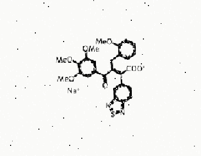 COc1ccccc1CC(C(=O)c1cc(OC)c(OC)c(OC)c1)=C(C(=O)[O-])c1ccc2nsnc2c1.[Na+]